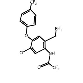 O=C(Nc1cc(Cl)c(Oc2ccc(C(F)(F)F)cc2)cc1CP)C(F)(F)F